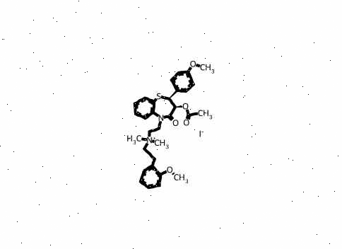 COc1ccc([C@@H]2Sc3ccccc3N(CC[N+](C)(C)CCc3ccccc3OC)C(=O)[C@@H]2OC(C)=O)cc1.[I-]